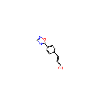 OCC=Cc1ccc(-c2ncno2)cc1